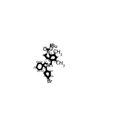 Cc1cc(C)c2c(ccn2C(=O)OC(C)(C)C)c1CN1CC2(CCCCC2)C1c1ccc(Br)cc1